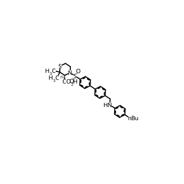 CCCCc1ccc(NCc2ccc(-c3ccc(S(=O)(=O)N4CCSC(C)(C)[C@@H]4C(=O)O)cc3)cc2)cc1